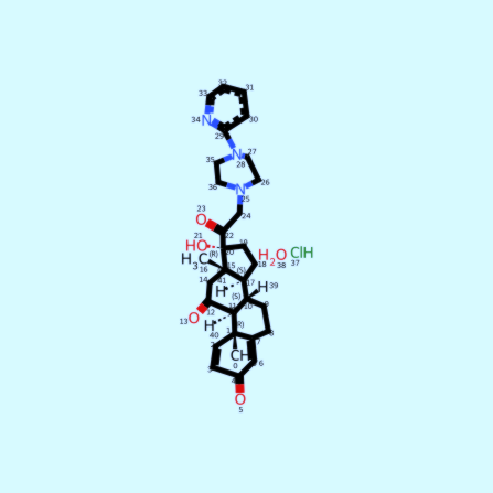 C[C@]12C=CC(=O)C=C1CC[C@@H]1[C@@H]2C(=O)C[C@@]2(C)[C@H]1CC[C@]2(O)C(=O)CN1CCN(c2ccccn2)CC1.Cl.O